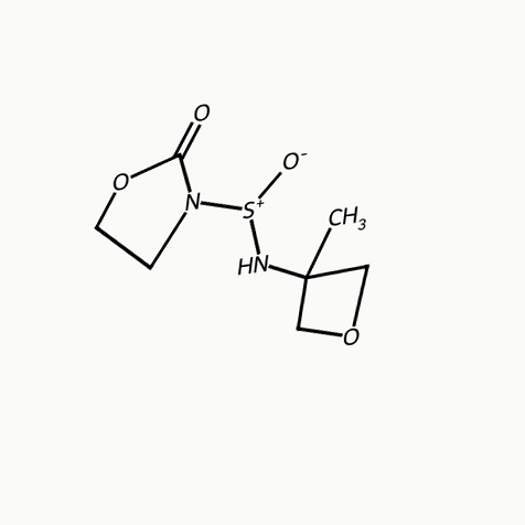 CC1(N[S+]([O-])N2CCOC2=O)COC1